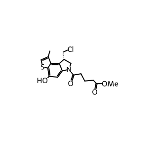 COC(=O)CCCC(=O)N1C[C@@H](CCl)c2c1cc(O)c1scc(C)c21